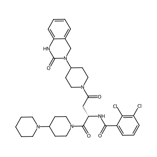 O=C(N[C@@H](CC(=O)N1CCC(N2Cc3ccccc3NC2=O)CC1)C(=O)N1CCC(N2CCCCC2)CC1)c1cccc(Cl)c1Cl